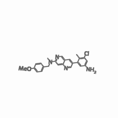 COc1ccc(CN(C)c2cc3ncc(-c4cc(N)cc(Cl)c4C)cc3cn2)cc1